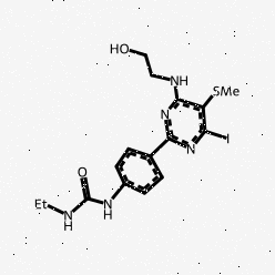 CCNC(=O)Nc1ccc(-c2nc(I)c(SC)c(NCCO)n2)cc1